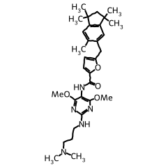 COc1nc(NCCCN(C)C)nc(OC)c1NC(=O)c1ccc(Cc2cc3c(cc2C)C(C)(C)CC3(C)C)o1